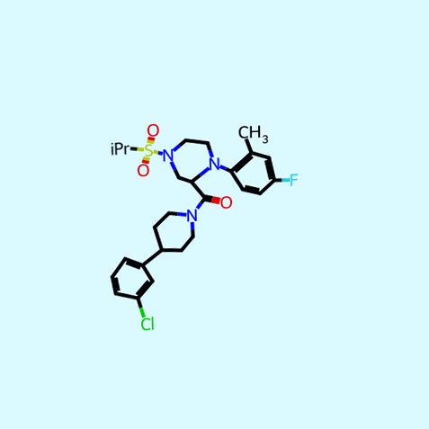 Cc1cc(F)ccc1N1CCN(S(=O)(=O)C(C)C)CC1C(=O)N1CCC(c2cccc(Cl)c2)CC1